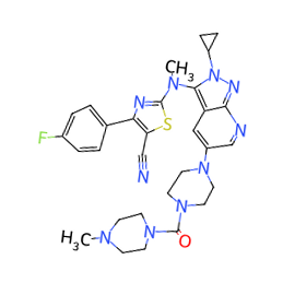 CN1CCN(C(=O)N2CCN(c3cnc4nn(C5CC5)c(N(C)c5nc(-c6ccc(F)cc6)c(C#N)s5)c4c3)CC2)CC1